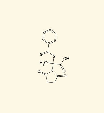 CC(SC(=S)c1ccccc1)(C(=O)O)N1C(=O)CCC1=O